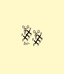 O=S(=O)([O-])C(F)(F)C(F)(F)C(F)(F)F.O=S(=O)([O-])C(F)(F)C(F)(F)C(F)(F)F.[Zn+2]